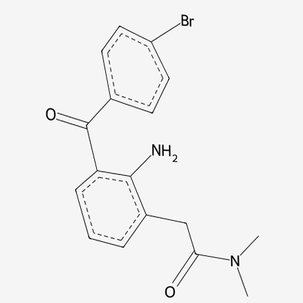 CN(C)C(=O)Cc1cccc(C(=O)c2ccc(Br)cc2)c1N